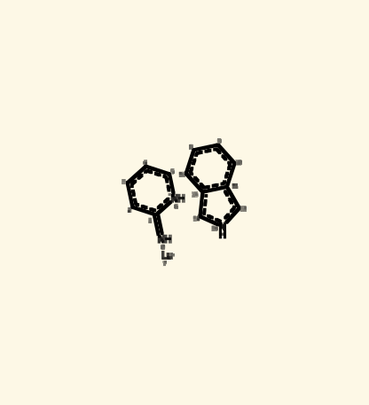 N=c1cccc[nH]1.[Lu].c1ccc2c[nH]cc2c1